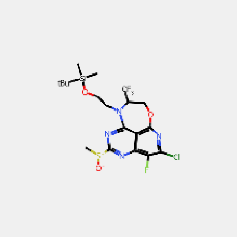 C[S+]([O-])c1nc2c3c(nc(Cl)c(F)c3n1)OCC(C(F)(F)F)N2CCO[Si](C)(C)C(C)(C)C